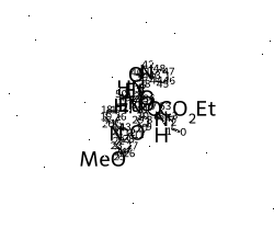 C=C[C@@H]1C[C@]1(NC(=O)[C@@H]1C[C@@H](Oc2cc(-c3ccccc3)nc3cc(OC)ccc23)C[C@H]1C(=O)N[C@H](C(=O)NCC(=O)N(C)C1CCCCC1)C(C)(CC)CC)C(=O)OCC